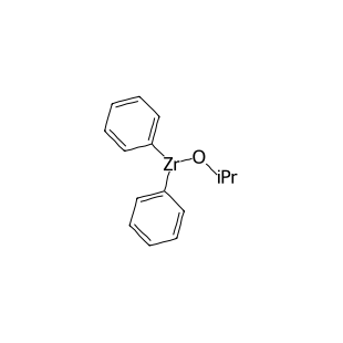 CC(C)[O][Zr]([c]1ccccc1)[c]1ccccc1